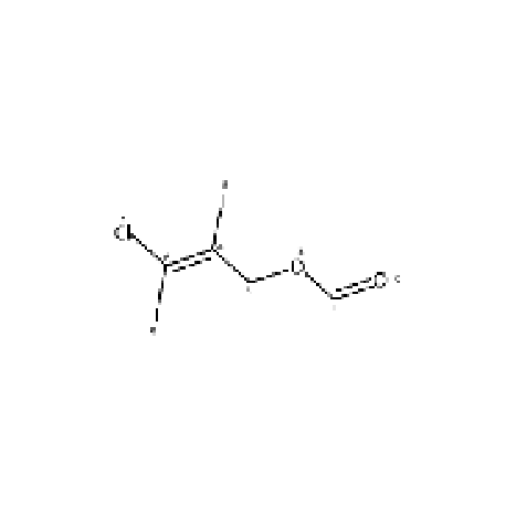 O=COC/C(I)=C(/Cl)I